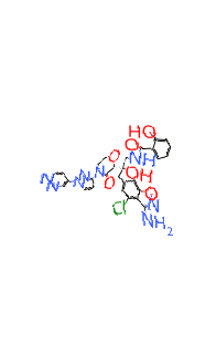 Nc1noc2cc(CC(O)(CNC(=O)c3ccccc3O)[C@H]3OCCN(c4ccn(-c5ccnnc5)n4)C3=O)cc(Cl)c12